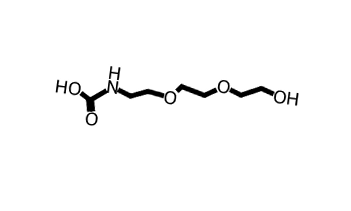 O=C(O)NCCOCCOCCO